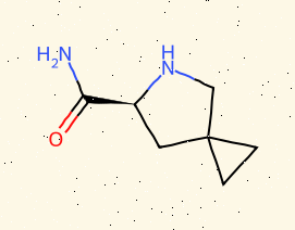 NC(=O)[C@@H]1CC2(CC2)CN1